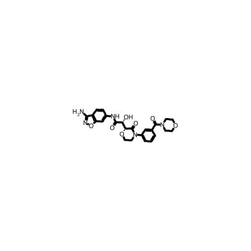 Nc1noc2cc(NC(=O)[C@H](O)[C@H]3OCCN(c4cccc(C(=O)N5CCOCC5)c4)C3=O)ccc12